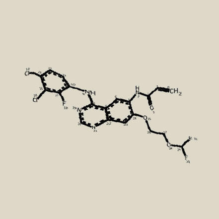 C=CC(=O)Nc1cc2c(Nc3ccc(Cl)c(Cl)c3F)ncnc2cc1OCCOC(F)F